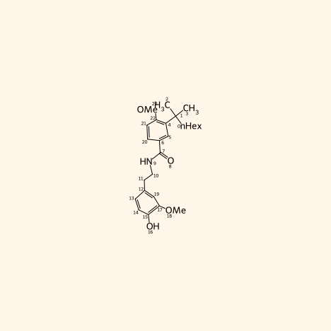 CCCCCCC(C)(C)c1cc(C(=O)NCCc2ccc(O)c(OC)c2)ccc1OC